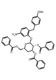 COc1ccc(Cc2ccc(N)cc2O[C@@H]2O[C@H](COC(=O)c3ccccc3)C[C@H](OC(=O)c3ccccc3)[C@H]2OC(=O)c2ccccc2)cc1